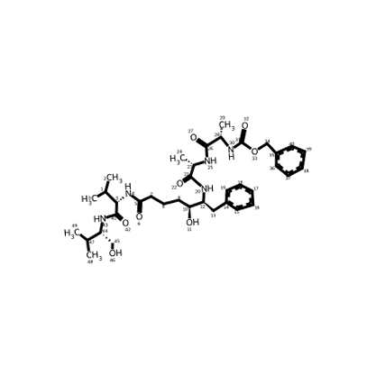 CC(C)[C@H](NC(=O)CCC[C@H](O)[C@H](Cc1ccccc1)NC(=O)[C@H](C)NC(=O)[C@H](C)NC(=O)OCc1ccccc1)C(=O)N[C@H](CO)C(C)C